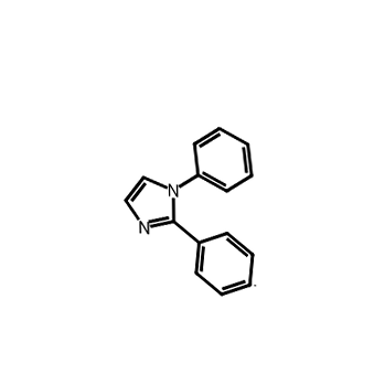 [c]1ccc(-c2nccn2-c2ccccc2)cc1